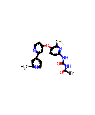 Cc1cc(-c2cc(Oc3ccc(NC(=O)NC(=O)C(C)C)nc3C)ccn2)ccn1